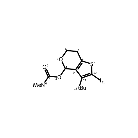 CNC(=O)OC1OCCc2sc(I)c(C(C)(C)C)c21